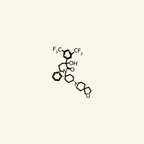 O=C1N([C@]2(c3ccccc3)CC[C@@H](N3CCC4(CCOC4)CC3)CC2)CCCC1(O)c1cc(C(F)(F)F)cc(C(F)(F)F)c1